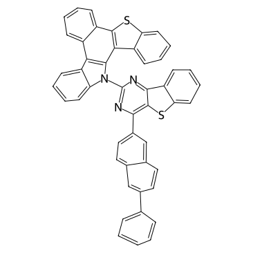 c1ccc(-c2ccc3cc(-c4nc(-n5c6ccccc6c6c7ccccc7c7sc8ccccc8c7c65)nc5c4sc4ccccc45)ccc3c2)cc1